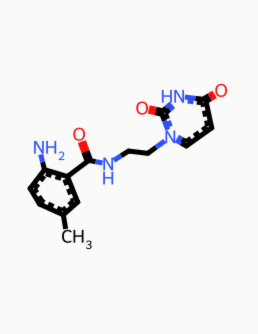 Cc1ccc(N)c(C(=O)NCCn2ccc(=O)[nH]c2=O)c1